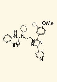 COc1ccc(-c2nc(-c3ccncc3)nn2CCN(C(=O)Nc2ccccc2C(C)C)C2CCCC2)cc1Cl